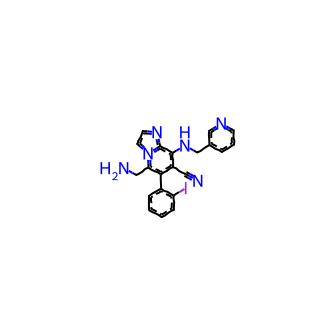 N#Cc1c(-c2ccccc2I)c(CN)n2ccnc2c1NCc1cccnc1